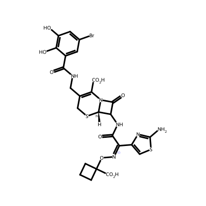 Nc1nc(/C(=N/OC2(C(=O)O)CCC2)C(=O)NC2C(=O)N3C(C(=O)O)=C(CNC(=O)c4cc(Br)cc(O)c4O)CS[C@@H]23)cs1